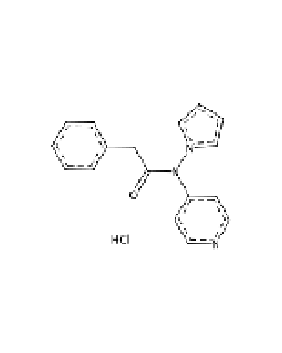 Cl.O=C(Cc1ccccc1)N(c1ccncc1)n1cccc1